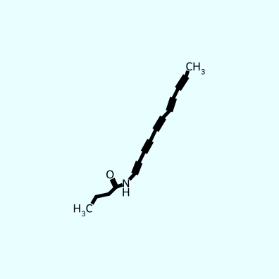 CC#CC#CC#CC#CC#CNC(=O)CCC